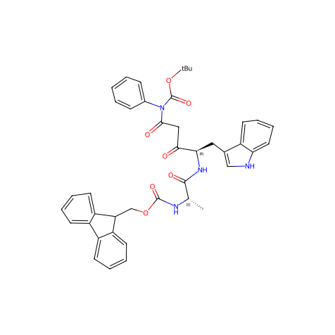 C[C@H](NC(=O)OCC1c2ccccc2-c2ccccc21)C(=O)N[C@H](Cc1c[nH]c2ccccc12)C(=O)CC(=O)N(C(=O)OC(C)(C)C)c1ccccc1